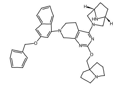 c1ccc(COc2cc(N3CCc4c(nc(OCC56CCCN5CCC6)nc4N4C[C@H]5CC[C@@H](C4)N5)C3)c3ccccc3c2)cc1